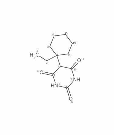 CCC1(C2C(=O)NC(=O)NC2=O)CCCCC1